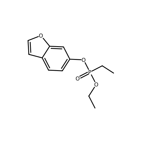 CCOP(=O)(CC)Oc1ccc2ccoc2c1